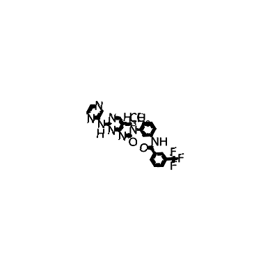 Cc1ccc(NC(=O)c2cccc(C(F)(F)F)c2)cc1-n1c(C)c2cnc(Nc3cnccn3)nc2nc1=O